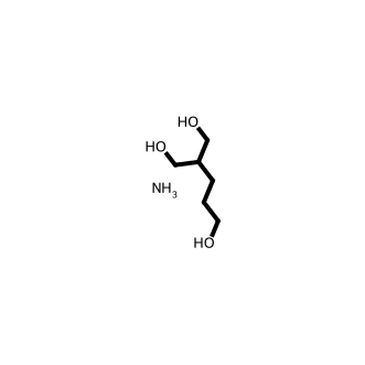 N.OCCCC(CO)CO